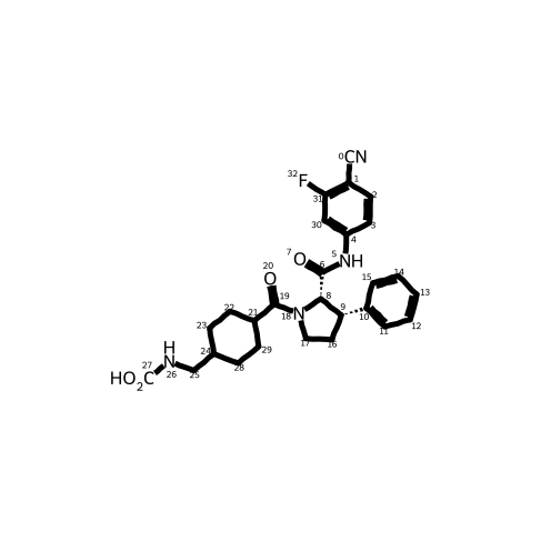 N#Cc1ccc(NC(=O)[C@@H]2[C@H](c3ccccc3)CCN2C(=O)C2CCC(CNC(=O)O)CC2)cc1F